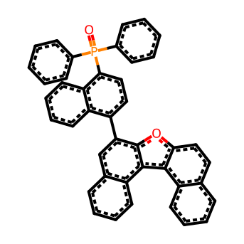 O=P(c1ccccc1)(c1ccccc1)c1ccc(-c2cc3ccccc3c3c2oc2ccc4ccccc4c23)c2ccccc12